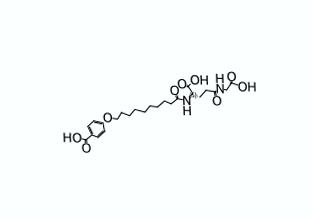 O=C(O)CNC(=O)CC[C@H](NC(=O)CCCCCCCCCOc1ccc(C(=O)O)cc1)C(=O)O